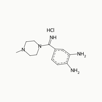 CN1CCN(C(=N)c2ccc(N)c(N)c2)CC1.Cl